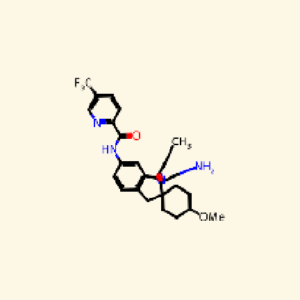 COC1CCC2(CC1)Cc1ccc(NC(=O)c3ccc(C(F)(F)F)cn3)cc1C21N=C(C)C(N)=N1